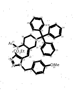 CCOC(=O)c1nnn(Cc2ccc(OC)cc2)c1/C=C1/CN(C(c2ccccc2)(c2ccccc2)c2ccccc2)CCC1SC(C)=O